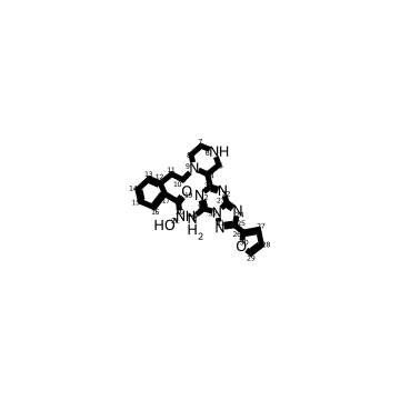 Nc1nc(C2CNCCN2CCc2ccccc2C(=O)NO)nc2nc(-c3ccco3)nn12